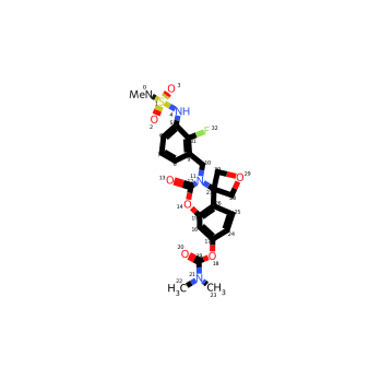 CNS(=O)(=O)Nc1cccc(CN2C(=O)Oc3cc(OC(=O)N(C)C)ccc3C23COC3)c1F